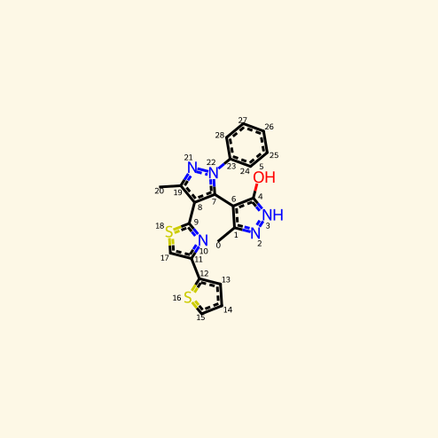 Cc1n[nH]c(O)c1-c1c(-c2nc(-c3cccs3)cs2)c(C)nn1-c1ccccc1